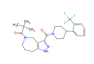 CC(C)(C)C(=O)N1CCCc2[nH]nc(C(=O)N3CCC(c4ccccc4C(F)(F)F)CC3)c2C1